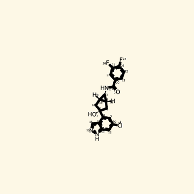 O=C(N[C@@H]1[C@@H]2C[C@@](O)(c3cc(Cl)cc4[nH]ncc34)C[C@@H]21)c1ccc(F)c(F)c1